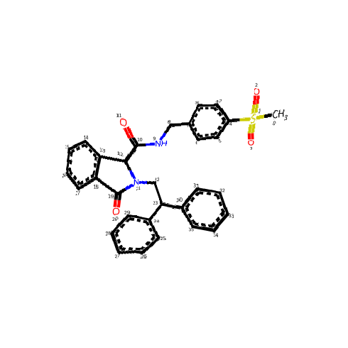 CS(=O)(=O)c1ccc(CNC(=O)C2c3ccccc3C(=O)N2CC(c2ccccc2)c2ccccc2)cc1